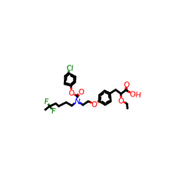 CCOC(Cc1ccc(OCCN(CCCCC(C)(F)F)C(=O)Oc2ccc(Cl)cc2)cc1)C(=O)O